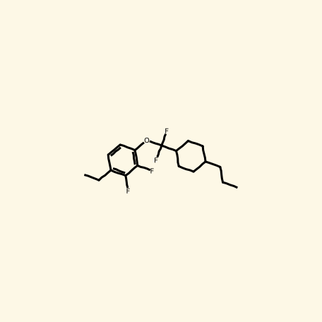 CCCC1CCC(C(F)(F)Oc2ccc(CC)c(F)c2F)CC1